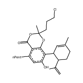 C=C(C)C1CCC(C)=CC1c1c(O)cc(CCCCC)c2c1OC(C)(CCCCl)OC2=O